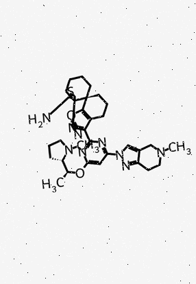 C[C@H](Oc1cc(-n2cc3c(n2)CCN(C)C3)nc(-c2noc3c2CCC[C@@]32CCCc3sc(N)c(C#N)c32)n1)[C@@H]1CCCN1C